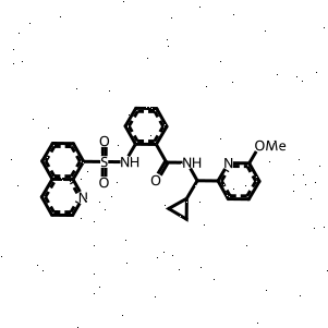 COc1cccc(C(NC(=O)c2ccccc2NS(=O)(=O)c2cccc3cccnc23)C2CC2)n1